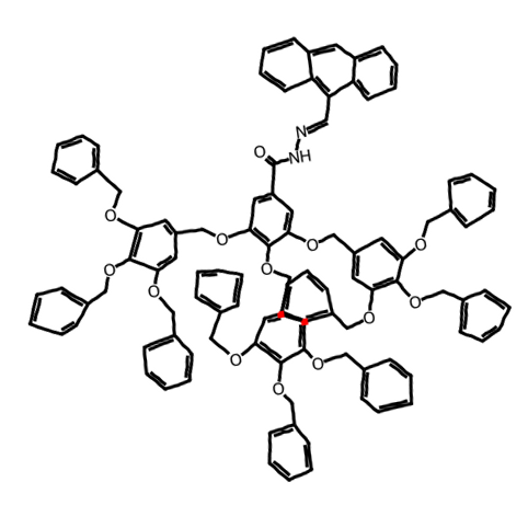 O=C(NN=Cc1c2ccccc2cc2ccccc12)c1cc(OCc2cc(OCc3ccccc3)c(OCc3ccccc3)c(OCc3ccccc3)c2)c(OCc2cc(OCc3ccccc3)c(OCc3ccccc3)c(OCc3ccccc3)c2)c(OCc2cc(OCc3ccccc3)c(OCc3ccccc3)c(OCc3ccccc3)c2)c1